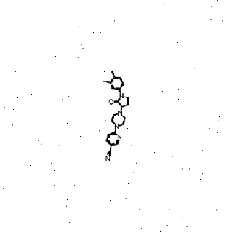 Cc1ccc(N2CCC(N3CCN(c4ccc(C#N)cn4)CC3)C2=O)cc1C